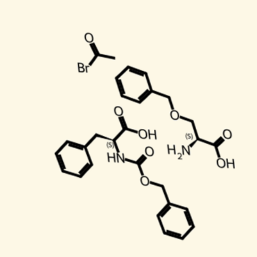 CC(=O)Br.N[C@@H](COCc1ccccc1)C(=O)O.O=C(N[C@@H](Cc1ccccc1)C(=O)O)OCc1ccccc1